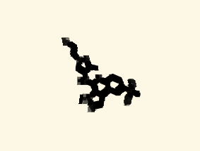 Cc1nn(CCF)cc1Nc1nc2ccc(S(C)(=O)=O)cc2c2cn[nH]c12